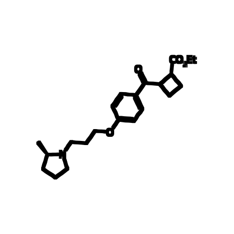 CCOC(=O)C1CCC1C(=O)c1ccc(OCCCN2CCC[C@H]2C)cc1